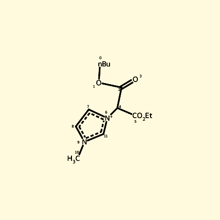 CCCCOC(=O)C(C(=O)OCC)[n+]1ccn(C)c1